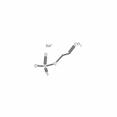 C=CCOS(=O)([O-])=S.[Na+]